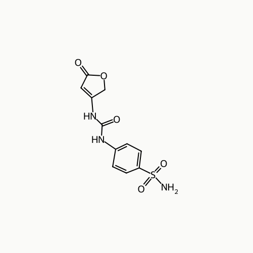 NS(=O)(=O)c1ccc(NC(=O)NC2=CC(=O)OC2)cc1